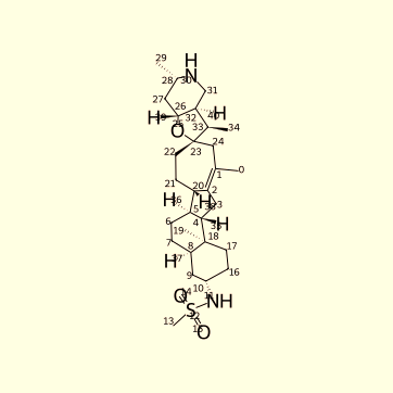 CC1=C2C[C@H]3[C@@H](CC[C@@H]4C[C@@H](NS(C)(=O)=O)CC[C@@]43C)[C@@H]2CC[C@@]2(C1)O[C@@H]1C[C@H](C)NC[C@H]1[C@H]2C